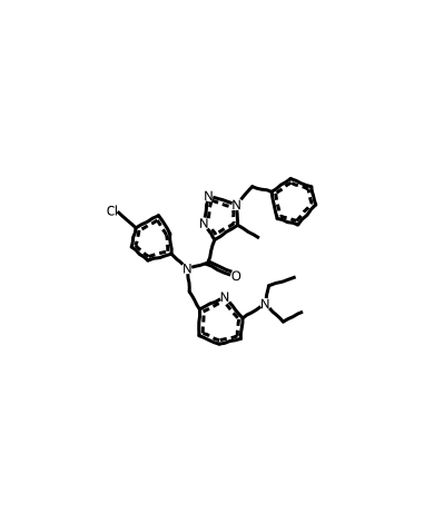 CCN(CC)c1cccc(CN(C(=O)c2nnn(Cc3ccccc3)c2C)c2ccc(Cl)cc2)n1